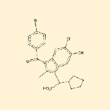 Cc1c(C(C(=O)O)C2CCCC2)c2cc(O)c(Cl)cc2n1C(=O)c1ccc(Br)cc1